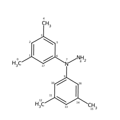 Cc1cc(C)cc(N(N)c2cc(C)cc(C)c2)c1